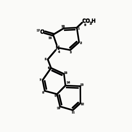 O=C(O)c1ccn(Cc2ccc3ccccc3c2)c(=O)c1